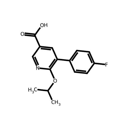 CC(C)Oc1ncc(C(=O)O)cc1-c1ccc(F)cc1